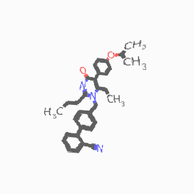 CCCc1nc(=O)c(-c2ccc(OC(C)C)cc2)c(CC)n1Cc1ccc(-c2ccccc2C#N)cc1